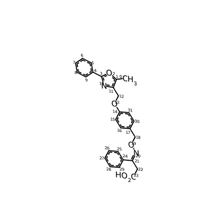 Cc1oc(-c2ccccc2)nc1COc1ccc(CON=C(CC(=O)O)c2ccccc2)cc1